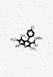 CC(=O)C(OC(C)(C)C)c1c(C)nc2c(c(C)c(C)n2C(C)C)c1-c1ccc(Cl)cc1